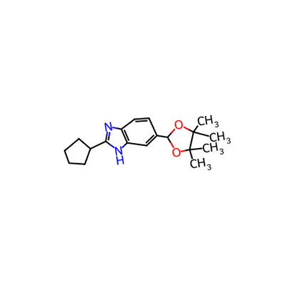 CC1(C)OC(c2ccc3nc(C4CCCC4)[nH]c3c2)OC1(C)C